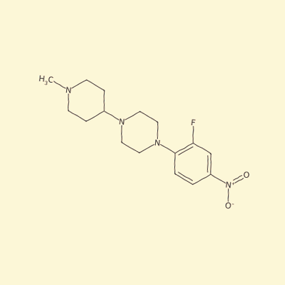 CN1CCC(N2CCN(c3ccc([N+](=O)[O-])cc3F)CC2)CC1